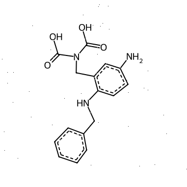 Nc1ccc(NCc2ccccc2)c(CN(C(=O)O)C(=O)O)c1